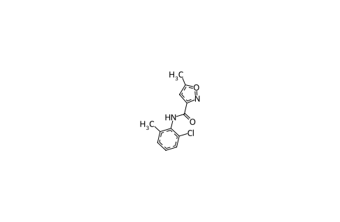 Cc1cc(C(=O)Nc2c(C)cccc2Cl)no1